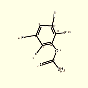 BC(=O)Oc1c(F)c(F)cc(F)c1F